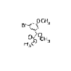 COC(=O)C(OC)c1cc(Br)cc(OC)c1